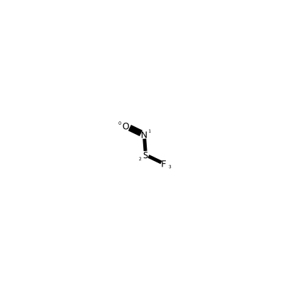 O=NSF